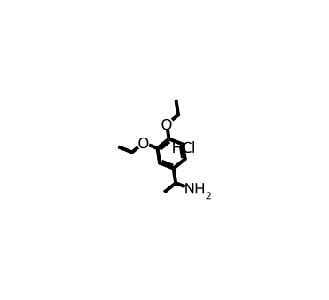 CCOc1ccc(C(C)N)cc1OCC.Cl